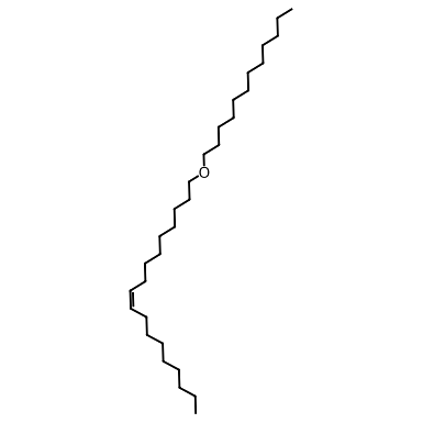 CCCCCCCC/C=C\CCCCCCCCOCCCCCCCCCCCC